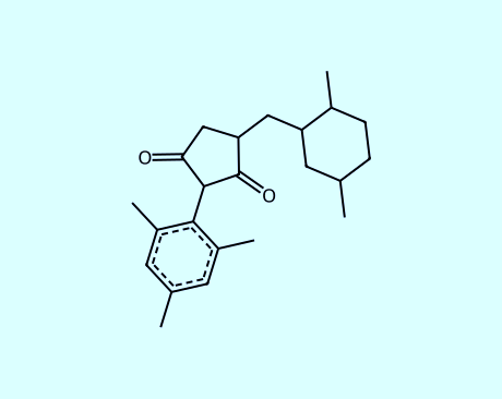 Cc1cc(C)c(C2C(=O)CC(CC3CC(C)CCC3C)C2=O)c(C)c1